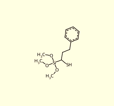 CO[Si](OC)(OC)C(S)CCc1ccccc1